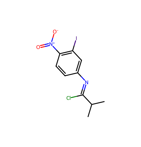 CC(C)C(Cl)=Nc1ccc([N+](=O)[O-])c(I)c1